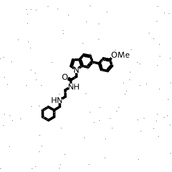 COc1cccc(-c2ccc3ccn(CC(=O)NCCNCC4CCCCC4)c3c2)c1